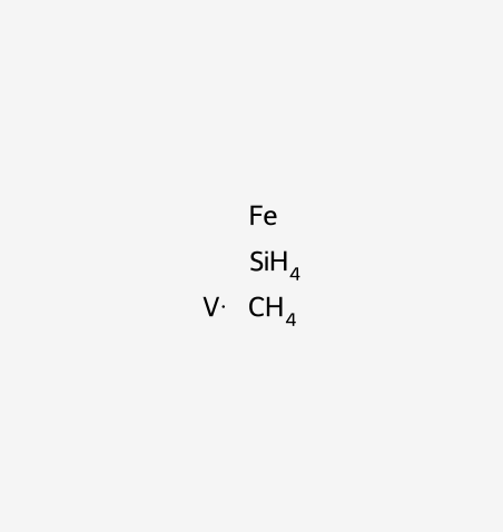 C.[Fe].[SiH4].[V]